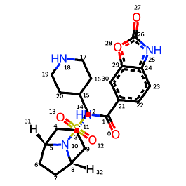 O=C(N[C@H]1C[C@H]2CC[C@@H](C1)N2S(=O)(=O)CC1CCNCC1)c1ccc2[nH]c(=O)oc2c1